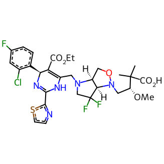 CCOC(=O)C1=C(CN2CC(F)(F)[C@H]3[C@@H]2CON3C[C@@H](OC)C(C)(C)C(=O)O)NC(c2nccs2)=N[C@H]1c1ccc(F)cc1Cl